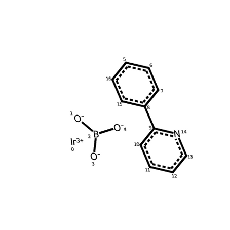 [Ir+3].[O-]B([O-])[O-].c1ccc(-c2ccccn2)cc1